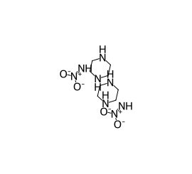 C1CNCCN1.C1CNCCN1.N=[N+]([O-])[O-].N=[N+]([O-])[O-]